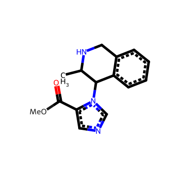 COC(=O)c1cncn1C1c2ccccc2CNC1C